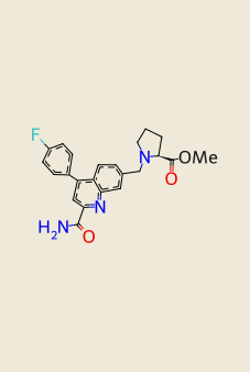 COC(=O)[C@@H]1CCCN1Cc1ccc2c(-c3ccc(F)cc3)cc(C(N)=O)nc2c1